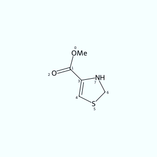 COC(=O)C1=CSCN1